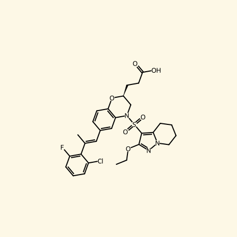 CCOc1nn2c(c1S(=O)(=O)N1C[C@H](CCC(=O)O)Oc3ccc(/C=C(\C)c4c(F)cccc4Cl)cc31)CCCC2